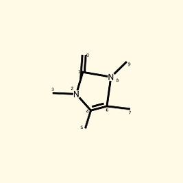 C=C1N(C)C(C)=C(C)N1C